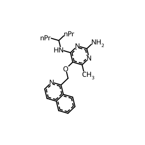 CCCC(CCC)Nc1nc(N)nc(C)c1OCc1nccc2ccccc12